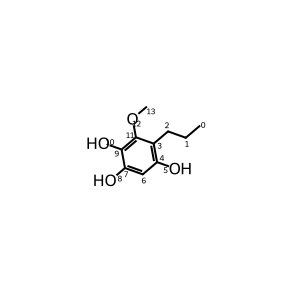 CCCc1c(O)cc(O)c(O)c1OC